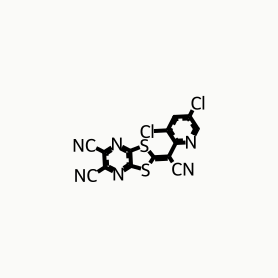 N#CC(=C1Sc2nc(C#N)c(C#N)nc2S1)c1ncc(Cl)cc1Cl